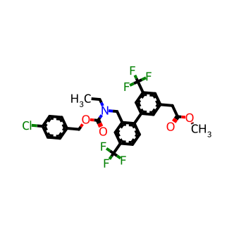 CCN(Cc1cc(C(F)(F)F)ccc1-c1cc(CC(=O)OC)cc(C(F)(F)F)c1)C(=O)OCc1ccc(Cl)cc1